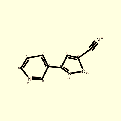 N#Cc1cc(-c2cccnc2)no1